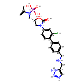 C=C(C)N(C[C@H]1CN(c2ccc(-c3ccc(CNCc4cnn[nH]4)cc3)c(F)c2)C(=O)O1)P(=O)(O)O